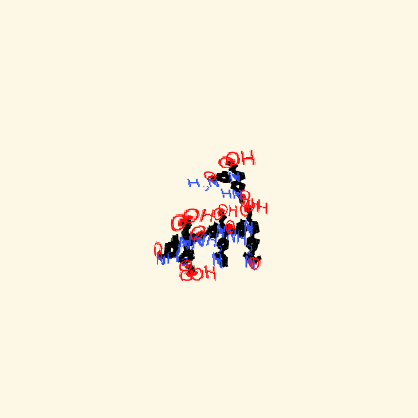 Cc1cc(C(N)=O)ccc1-n1c(CCC(=O)O)ccc1-c1ccc(-c2c(C)noc2C)cc1.Cc1cc(C(N)=O)ccc1-n1c(CCC(=O)O)ccc1-c1ccc(-c2cccnc2)cc1.Cc1cc(C(N)=O)ccc1-n1c(CCC(=O)O)ccc1-c1ccc(NC(=O)CO)cc1.Cc1cc(C(N)=O)ccc1-n1c(CCC(=O)O)ccc1-c1ccc(OCC(=O)O)cc1